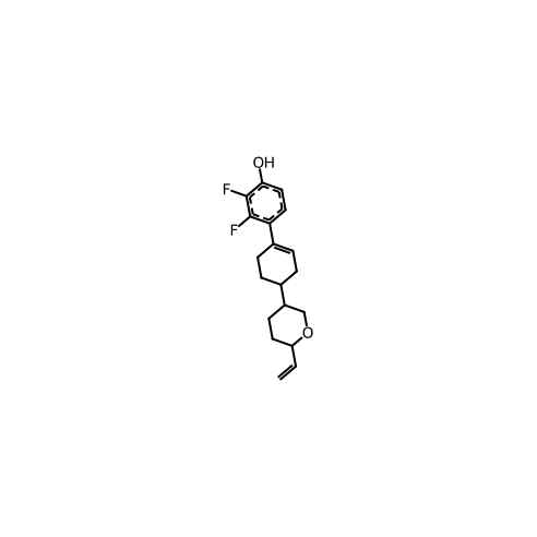 C=CC1CCC(C2CC=C(c3ccc(O)c(F)c3F)CC2)CO1